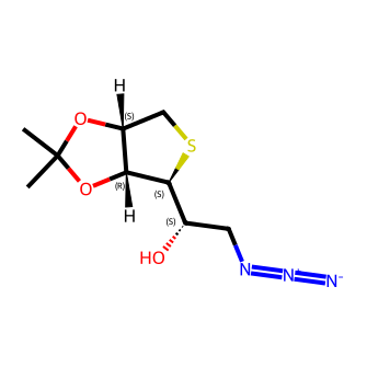 CC1(C)O[C@H]2[C@H]([C@@H](O)CN=[N+]=[N-])SC[C@H]2O1